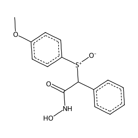 COc1ccc([S+]([O-])C(C(=O)NO)c2ccccc2)cc1